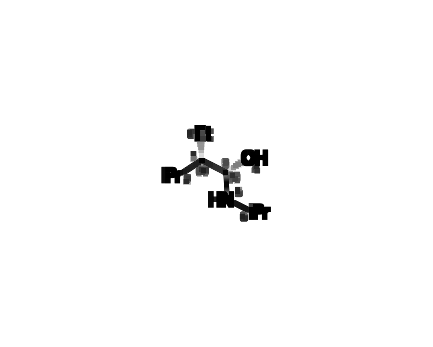 CC[C@@H](C(C)C)[C@H](O)NC(C)C